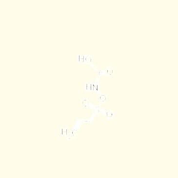 C=CCS(=O)(=O)ONC(=O)O